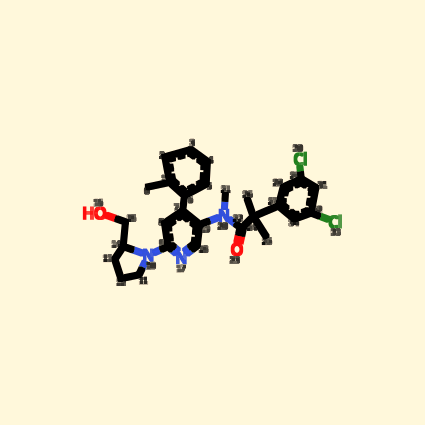 Cc1ccccc1-c1cc(N2CCCC2CO)ncc1N(C)C(=O)C(C)(C)c1cc(Cl)cc(Cl)c1